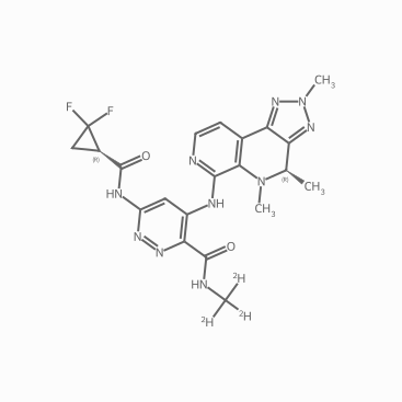 [2H]C([2H])([2H])NC(=O)c1nnc(NC(=O)[C@H]2CC2(F)F)cc1Nc1nccc2c1N(C)[C@H](C)c1nn(C)nc1-2